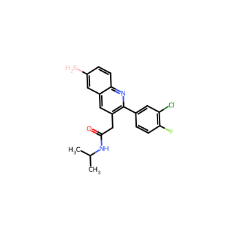 Bc1ccc2nc(-c3ccc(F)c(Cl)c3)c(CC(=O)NC(C)C)cc2c1